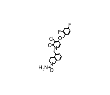 NC(=O)N1CCc2c(cccc2Cn2ccc(OCc3ccc(F)cc3F)c(Cl)c2=O)C1